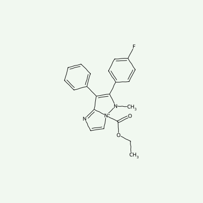 CCOC(=O)[N+]12C=CN=C1C(c1ccccc1)=C(c1ccc(F)cc1)N2C